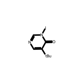 CC(C)(C)c1cncn(I)c1=O